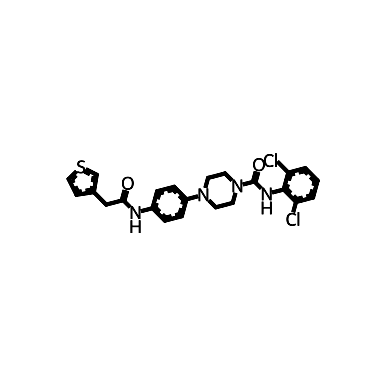 O=C(Cc1ccsc1)Nc1ccc(N2CCN(C(=O)Nc3c(Cl)cccc3Cl)CC2)cc1